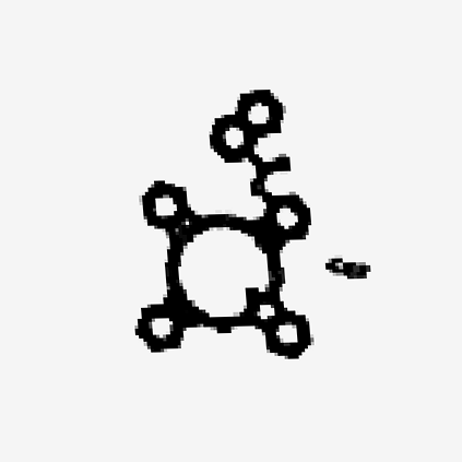 O=C(Oc1cccc2c3nc4nc(nc5[nH]c(nc6nc(nc([nH]3)c12)-c1ccccc1-6)c1ccccc51)-c1ccccc1-4)c1cccc2ccccc12.[Cu].[Cu]